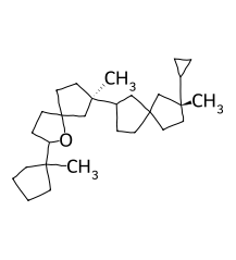 CC1(C2CCC3(CC[C@@](C)(C4CCC5(CC[C@@](C)(C6CC6)C5)C4)C3)O2)CCCC1